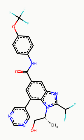 C[C@H](CO)n1c(C(F)F)nc2cc(C(=O)Nc3ccc(OC(F)(F)F)cc3)cc(-c3cncnc3)c21